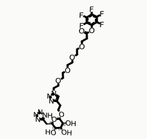 O=C(CCOCCOCCOCCOCCn1cc(CCO[C@H]2O[C@H](Cc3nnn[nH]3)[C@@H](O)[C@H](O)[C@@H]2O)nn1)Oc1c(F)c(F)c(F)c(F)c1F